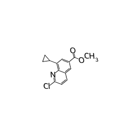 COC(=O)c1cc(C2CC2)c2nc(Cl)ccc2c1